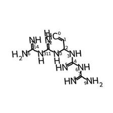 [CH]=CC(NC(=N)NC(=N)N)NC(=N)NC(=N)N